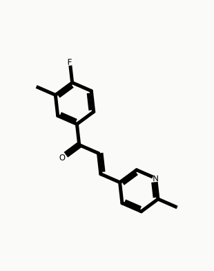 Cc1ccc(C=CC(=O)c2ccc(F)c(C)c2)cn1